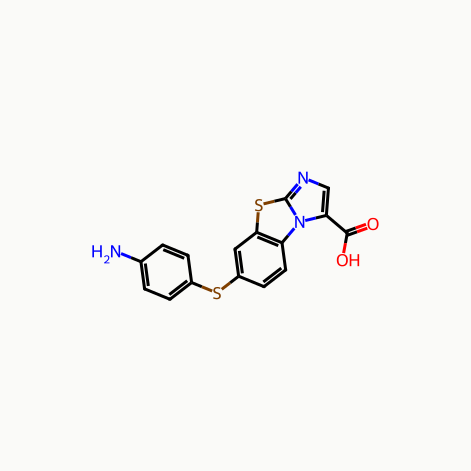 Nc1ccc(Sc2ccc3c(c2)sc2ncc(C(=O)O)n23)cc1